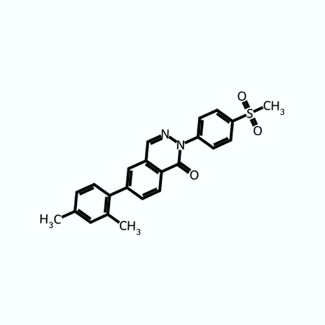 Cc1ccc(-c2ccc3c(=O)n(-c4ccc(S(C)(=O)=O)cc4)ncc3c2)c(C)c1